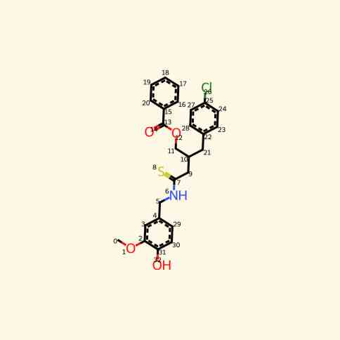 COc1cc(CNC(=S)CC(COC(=O)c2ccccc2)Cc2ccc(Cl)cc2)ccc1O